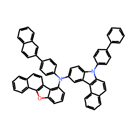 c1ccc(-c2ccc(-n3c4ccc(N(c5ccc(-c6ccc7ccccc7c6)cc5)c5cccc6oc7c8ccccc8ccc7c56)cc4c4c5ccccc5ccc43)cc2)cc1